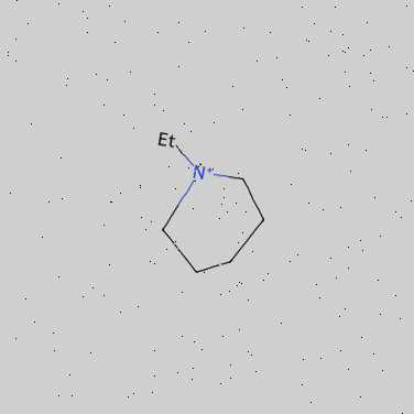 CC[N+]1CCCCC1